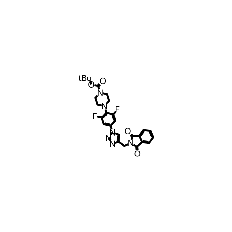 CC(C)(C)OC(=O)N1CCN(c2c(F)cc(-n3cc(CN4C(=O)c5ccccc5C4=O)nn3)cc2F)CC1